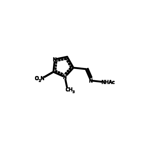 CC(=O)N/N=C/c1cnc([N+](=O)[O-])n1C